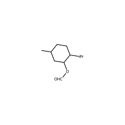 CC1CCC(C(C)C)C(OC=O)C1